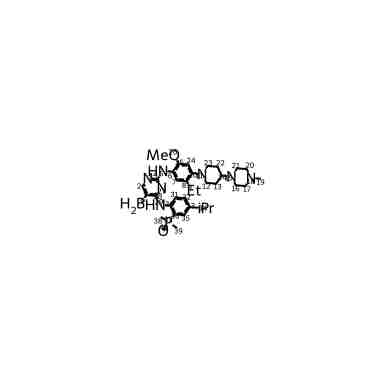 Bc1cnc(Nc2cc(CC)c(N3CCC(N4CCN(C)CC4)CC3)cc2OC)nc1Nc1ccc(C(C)C)cc1P(C)(C)=O